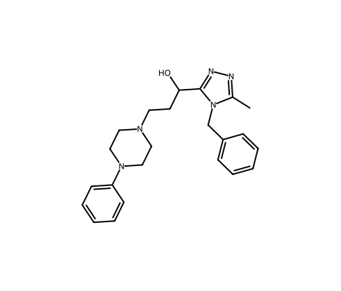 Cc1nnc(C(O)CCN2CCN(c3ccccc3)CC2)n1Cc1ccccc1